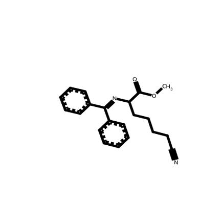 COC(=O)C(CCCCC#N)N=C(c1ccccc1)c1ccccc1